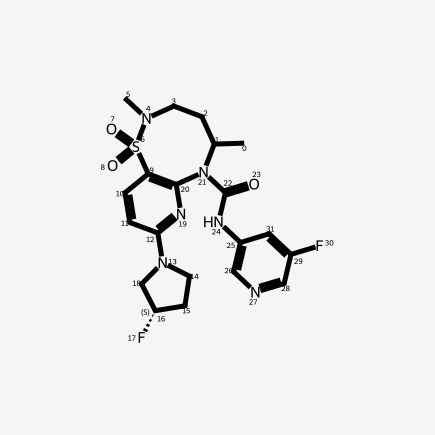 CC1CCN(C)S(=O)(=O)c2ccc(N3CC[C@H](F)C3)nc2N1C(=O)Nc1cncc(F)c1